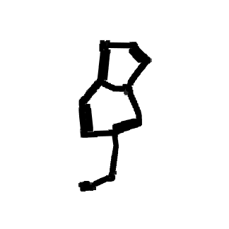 CC(C)(C)Sc1ccc2nccn2c1